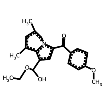 CCOC(O)c1cc(C(=O)c2ccc(OC)cc2)n2cc(C)cc(C)c12